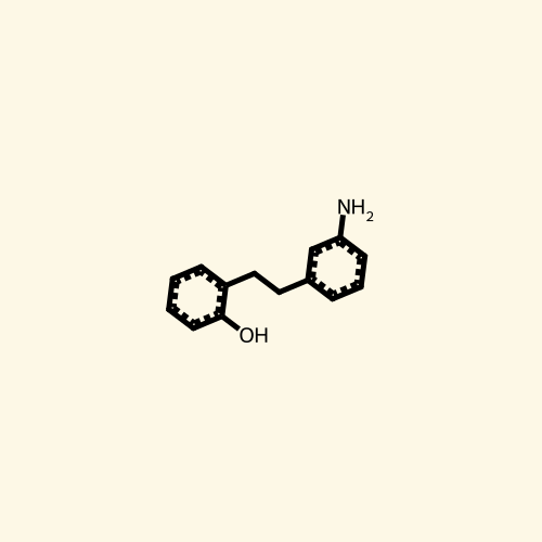 Nc1cccc(CCc2ccccc2O)c1